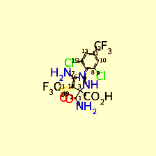 NC(=O)C1(C(=O)O)NN(c2c(Cl)cc(C(F)(F)F)cc2Cl)C(N)=C1[S+]([O-])C(F)(F)F